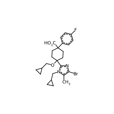 Cc1c(Br)nc(C2(OCC3CC3)CCC(C(=O)O)(c3ccc(F)cc3)CC2)n1CC1CC1